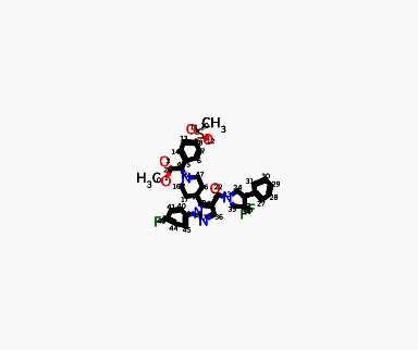 COC(=O)C(c1ccc(S(C)(=O)=O)cc1)N1CCC(c2c(C(=O)N3CC(c4ccccc4)C(F)(F)C3)cnn2-c2ccc(F)cc2)CC1